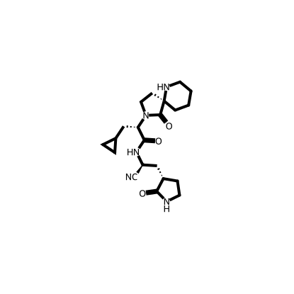 N#C[C@H](C[C@@H]1CCNC1=O)NC(=O)[C@H](CC1CC1)N1CC[C@]2(CCCCN2)C1=O